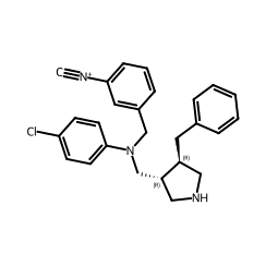 [C-]#[N+]c1cccc(CN(C[C@H]2CNC[C@@H]2Cc2ccccc2)c2ccc(Cl)cc2)c1